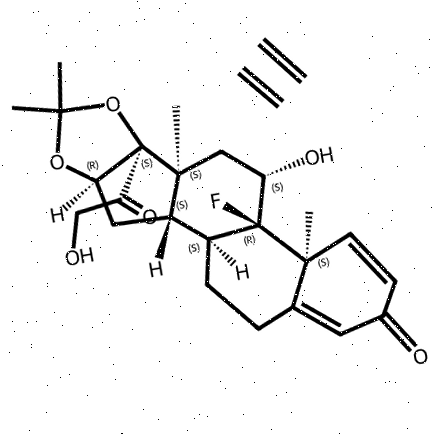 C=C.C=C.CC1(C)O[C@@H]2C[C@H]3[C@@H]4CCC5=CC(=O)C=C[C@]5(C)[C@@]4(F)[C@@H](O)C[C@]3(C)[C@]2(C(=O)CO)O1